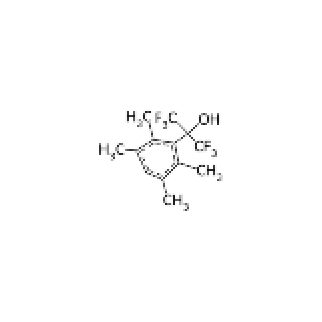 Cc1cc(C)c(C)c(C(O)(C(F)(F)F)C(F)(F)F)c1C